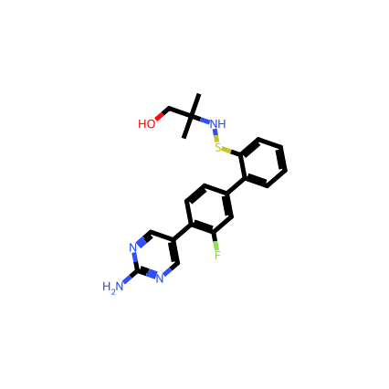 CC(C)(CO)NSc1ccccc1-c1ccc(-c2cnc(N)nc2)c(F)c1